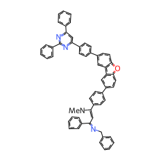 CN/C(=C\C(=N/Cc1ccccc1)c1ccccc1)c1ccc(-c2ccc3oc4ccc(-c5ccc(-c6cc(-c7ccccc7)nc(-c7ccccc7)n6)cc5)cc4c3c2)cc1